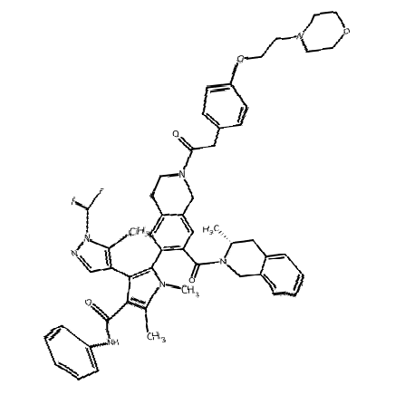 Cc1c(-c2c(C(=O)Nc3ccccc3)c(C)n(C)c2-c2cc3c(cc2C(=O)N2Cc4ccccc4C[C@H]2C)CN(C(=O)Cc2ccc(OCCN4CCOCC4)cc2)CC3)cnn1C(F)F